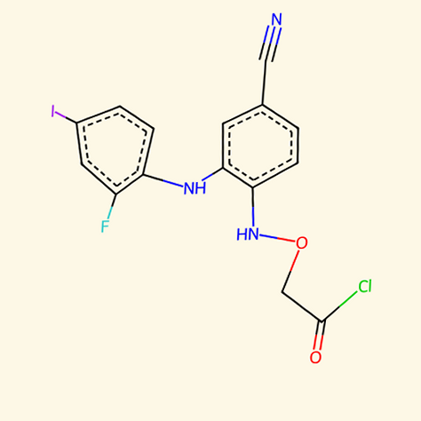 N#Cc1ccc(NOCC(=O)Cl)c(Nc2ccc(I)cc2F)c1